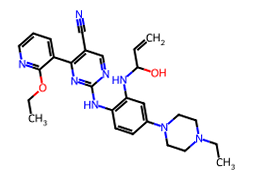 C=CC(O)Nc1cc(N2CCN(CC)CC2)ccc1Nc1ncc(C#N)c(-c2cccnc2OCC)n1